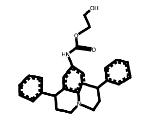 O=C(Nc1cc2c3c(c1)C(c1ccccc1)CCN3CCC2c1ccccc1)OCCO